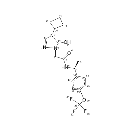 C[C@H](NC(=O)CN1N=CN(C2CCC2)C1O)c1ccc(OC(F)(F)F)cc1